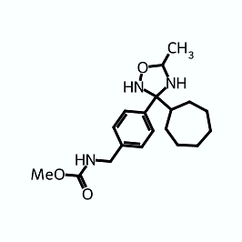 COC(=O)NCc1ccc(C2(C3CCCCCC3)NOC(C)N2)cc1